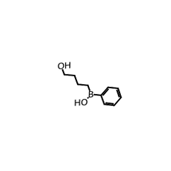 OCCCCB(O)c1ccccc1